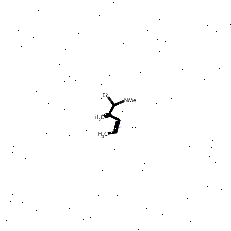 C=C(/C=C\C)C(CC)NC